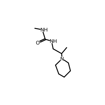 CNC(=O)NCC(C)N1CCCCC1